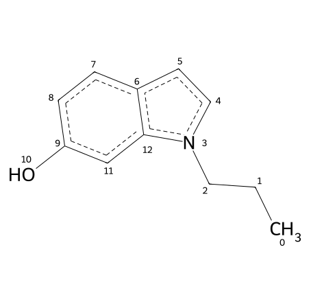 CCCn1ccc2ccc(O)cc21